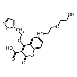 CCOc1c(C(=O)O)c(=O)oc2ccccc12.OCCOCCO.c1cnon1